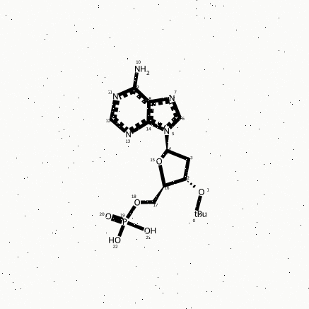 CC(C)(C)O[C@H]1C[C@H](n2cnc3c(N)ncnc32)O[C@@H]1COP(=O)(O)O